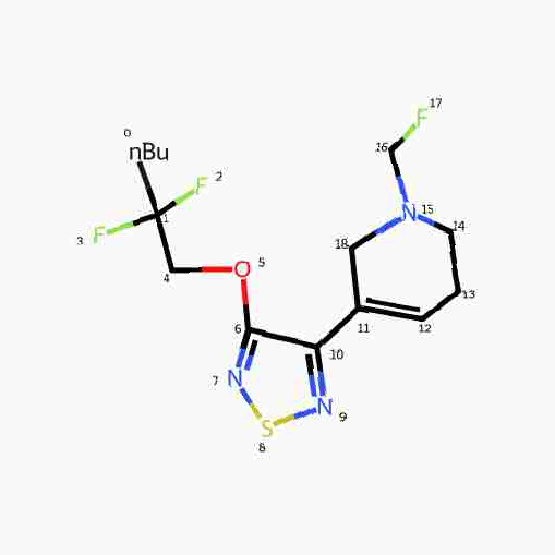 CCCCC(F)(F)COc1nsnc1C1=CCCN(CF)C1